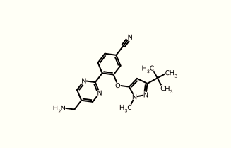 Cn1nc(C(C)(C)C)cc1Oc1cc(C#N)ccc1-c1ncc(CN)cn1